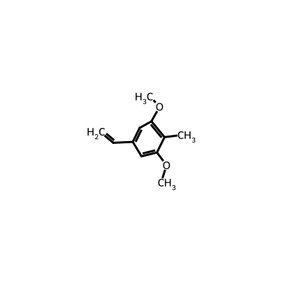 C=Cc1cc(OC)c(C)c(OC)c1